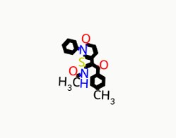 CC(=O)Nc1sc2c(ccc(=O)n2-c2ccccc2)c1C(=O)c1ccc(C)cc1